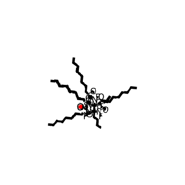 C=CC(=O)OC(N(F)S(=O)(=O)CCCCCCCC)(N(F)S(=O)(=O)CCCCCCCC)C(CCCC)(N(F)S(=O)(=O)CCCCCCCC)N(F)S(=O)(=O)CCCCCCCC